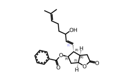 CC(C)=CCCC(O)/C=C/[C@@H]1[C@H]2CC(=O)O[C@H]2C[C@H]1OC(=O)c1ccccc1